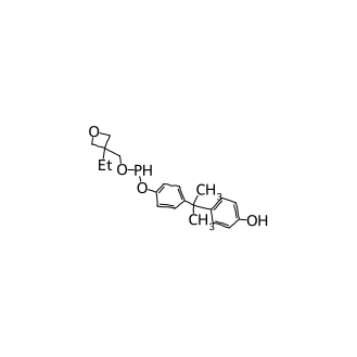 CCC1(COPOc2ccc(C(C)(C)c3ccc(O)cc3)cc2)COC1